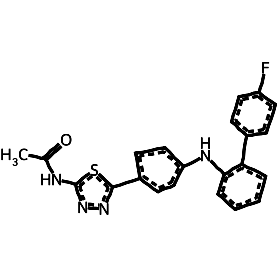 CC(=O)Nc1nnc(-c2ccc(Nc3ccccc3-c3ccc(F)cc3)cc2)s1